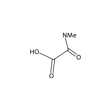 CNC(=O)C(=O)O